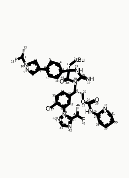 CC(C)(C)C[C@]1(c2ccc(-c3cnn(C(F)F)c3)cc2)NC(=N)N([C@H](COC(=O)Nc2ccccn2)c2ccc(Cl)c(-n3ncnc3C(F)F)c2)C1=O